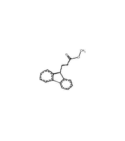 COC(=O)CCC1c2ccccc2-c2ccccc21